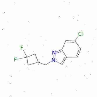 FC1(F)CC(Cn2cc3ccc(Cl)cc3n2)C1